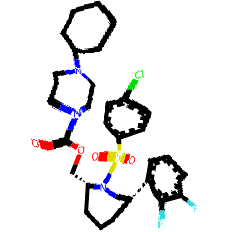 O=C(OC[C@H]1CCC[C@@H](c2cccc(F)c2F)N1S(=O)(=O)c1ccc(Cl)cc1)N1CCN(C2CCCCC2)CC1